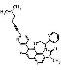 CN(C)CCC#Cc1ccc(-c2c(F)cc3ncc4c5c3c2OCC(c2ccccn2)n5c(=O)n4C)cn1